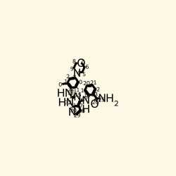 Cc1cc(N2CCOCC2)ccc1Nc1nc(Nc2ccccc2C(N)=O)c2ccnc-2[nH]1